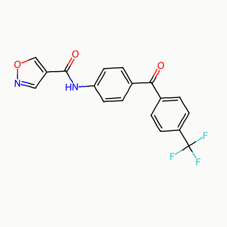 O=C(Nc1ccc(C(=O)c2ccc(C(F)(F)F)cc2)cc1)c1cnoc1